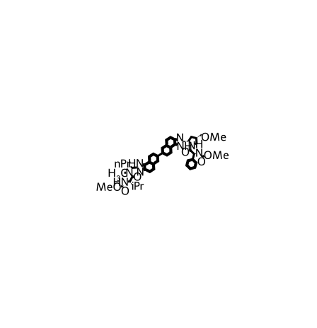 CCC[C@@H](c1nc2ccc3cc(-c4ccc5c(ccc6nc([C@@H]7C[C@H](COC)CN7C(=O)[C@H](NC(=O)OC)c7ccccc7)[nH]c65)c4)ccc3c2[nH]1)N(C)C(=O)[C@@H](NC(=O)OC)C(C)C